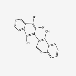 Oc1c(-c2c(Br)c(Br)c3ccccc3c2O)ccc2ccccc12